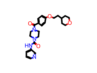 O=C(Nc1cccnc1)N1CCN(C(=O)c2ccc(OCCC3CCOCC3)cc2)CC1